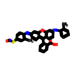 Cc1cc(SN=O)ccc1/N=c1\ccc2c(-c3ccccc3C(=O)O)c3ccc(Nc4ccccc4C)cc3oc-2c1